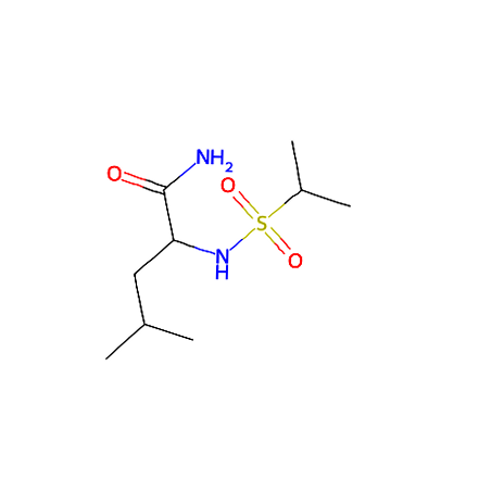 CC(C)CC(NS(=O)(=O)C(C)C)C(N)=O